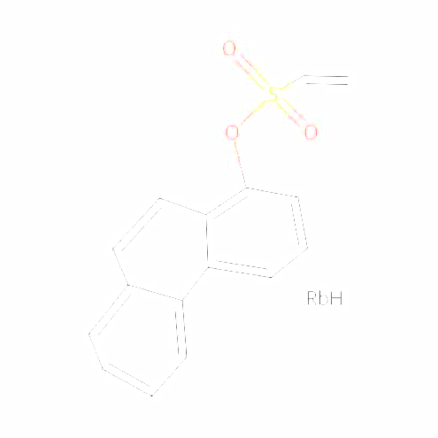 C=CS(=O)(=O)Oc1cccc2c1ccc1ccccc12.[RbH]